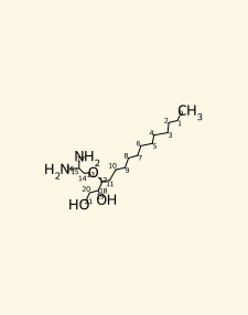 CCCCCCCCCCCCC(OCC(N)N)C(O)CO